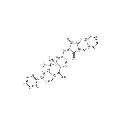 CN1c2ccc(C=C3C(=O)c4cc5ccccc5cc4C3=O)cc2C(C)(C)c2cc(-c3ccccn3)ccc21